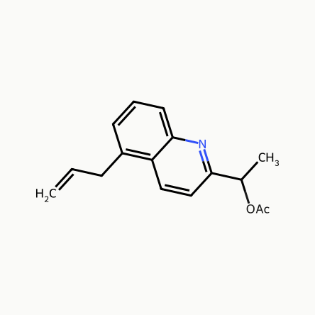 C=CCc1cccc2nc(C(C)OC(C)=O)ccc12